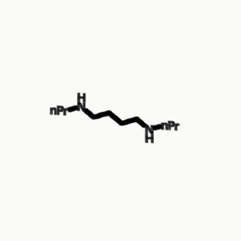 [CH2]CCNCCCCNCCC